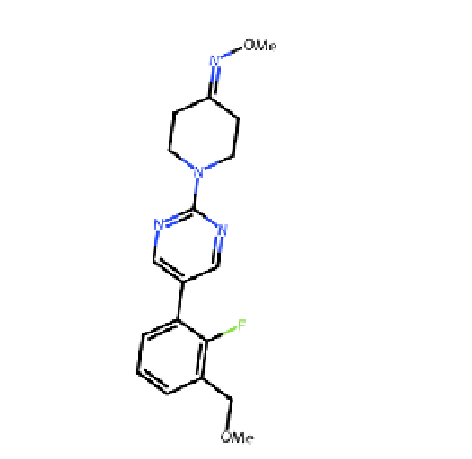 COCc1cccc(-c2cnc(N3CCC(=NOC)CC3)nc2)c1F